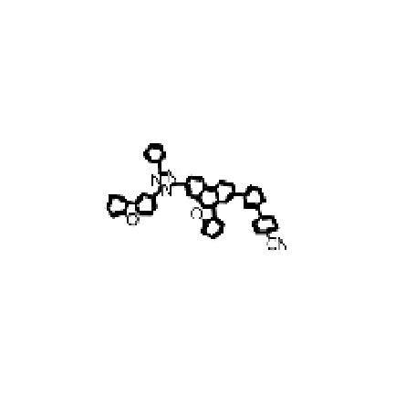 N#Cc1ccc(-c2cccc(-c3ccc4c5ccc(-c6nc(-c7ccccc7)nc(-c7ccc8oc9ccccc9c8c7)n6)cc5c5oc6ccccc6c5c4c3)c2)cc1